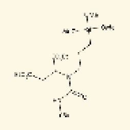 CCCCNC(=O)N(CCC[Si](OC)(OC)OC)C(CC(=O)OCC)C(=O)OCC